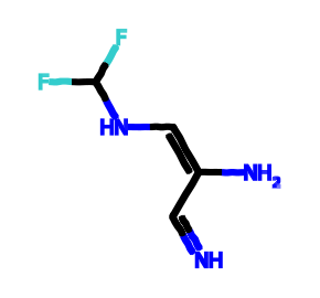 N=C/C(N)=C\NC(F)F